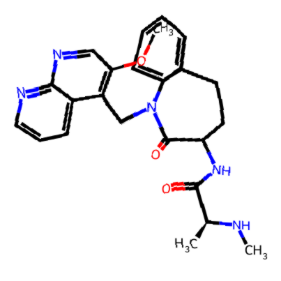 CN[C@@H](C)C(=O)NC1CCc2ccccc2N(Cc2c(OC)cnc3ncccc23)C1=O